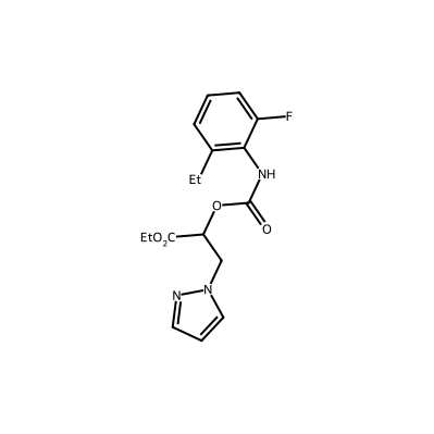 CCOC(=O)C(Cn1cccn1)OC(=O)Nc1c(F)cccc1CC